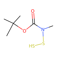 CN(SS)C(=O)OC(C)(C)C